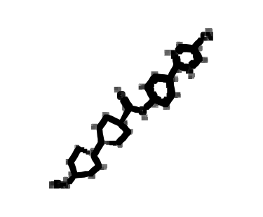 CCCCCCCCCC[C@H]1CC[C@H]([C@H]2CC[C@H](C(=O)Oc3ccc(-c4ncc(C#N)cn4)cc3)CC2)CC1